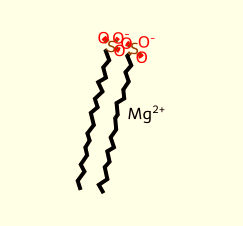 CCCCCCCCCCCCCCCCCCS(=O)(=O)[O-].CCCCCCCCCCCCCCCCCCS(=O)(=O)[O-].[Mg+2]